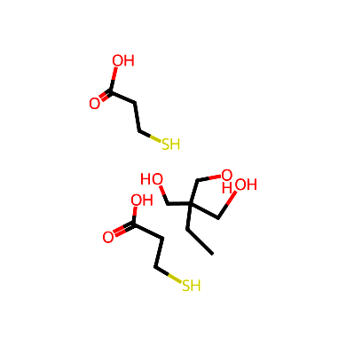 CCC(CO)(CO)CO.O=C(O)CCS.O=C(O)CCS